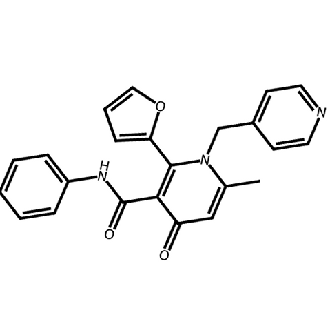 Cc1cc(=O)c(C(=O)Nc2ccccc2)c(-c2ccco2)n1Cc1ccncc1